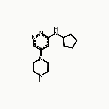 c1nnc(NC2CCCC2)cc1N1CCNCC1